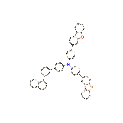 c1cc(-c2ccc(N(c3ccc(-c4ccc5c(c4)oc4ccccc45)cc3)c3ccc(-c4ccc5sc6ccccc6c5c4)cc3)cc2)cc(-c2cccc3ccccc23)c1